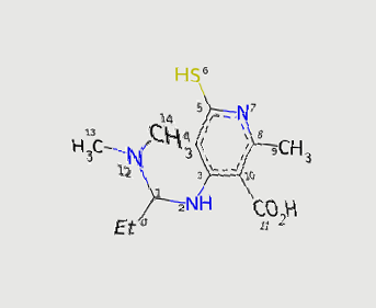 CCC(Nc1cc(S)nc(C)c1C(=O)O)N(C)C